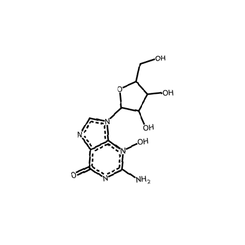 Nc1nc(=O)c2ncn(C3OC(CO)C(O)C3O)c2n1O